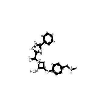 CNCc1ccc(SC2CN(C(=O)c3nnc(-c4ccccc4)o3)C2)cc1.Cl